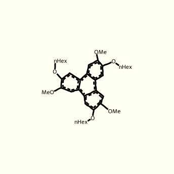 CCCCCCOc1cc2c(cc1OC)c1cc(OCCCCCC)c(OC)cc1c1cc(OCCCCCC)c(OC)cc21